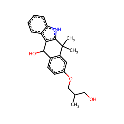 CC(CO)COc1ccc2c(c1)C(C)(C)c1[nH]c3ccccc3c1C2O